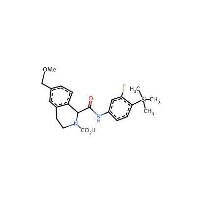 COCc1ccc2c(c1)CCN(C(=O)O)C2C(=O)Nc1ccc([Si](C)(C)C)c(F)c1